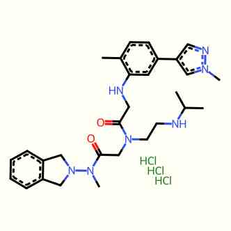 Cc1ccc(-c2cnn(C)c2)cc1NCC(=O)N(CCNC(C)C)CC(=O)N(C)N1Cc2ccccc2C1.Cl.Cl.Cl